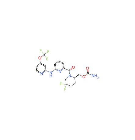 NC(=O)OC[C@H]1CCC(F)(F)CN1C(=O)c1cccc(Nc2cc(OC(F)(F)F)ccn2)n1